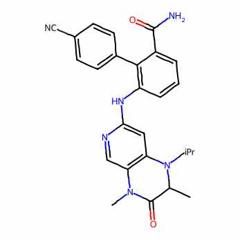 CC(C)N1c2cc(Nc3cccc(C(N)=O)c3-c3ccc(C#N)cc3)ncc2N(C)C(=O)C1C